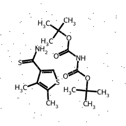 CC(C)(C)OC(=O)NC(=O)OC(C)(C)C.Cc1scc(C(N)=S)c1C